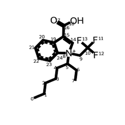 CCCCCC(CC)[N+]1(CC(F)(F)F)C=C(C(=O)O)c2ccccc21